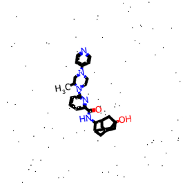 CC1CN(c2ccncc2)CCN1c1cccc(C(=O)NC2C3CC4CC2CC(O)(C4)C3)n1